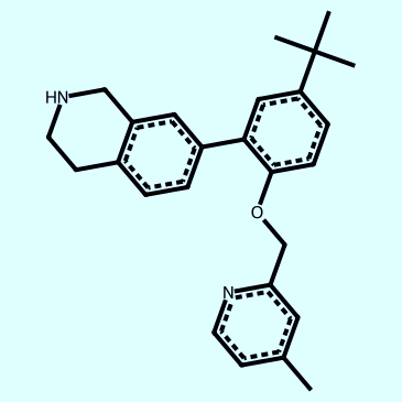 Cc1ccnc(COc2ccc(C(C)(C)C)cc2-c2ccc3c(c2)CNCC3)c1